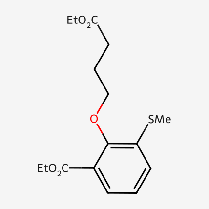 CCOC(=O)CCCOc1c(SC)cccc1C(=O)OCC